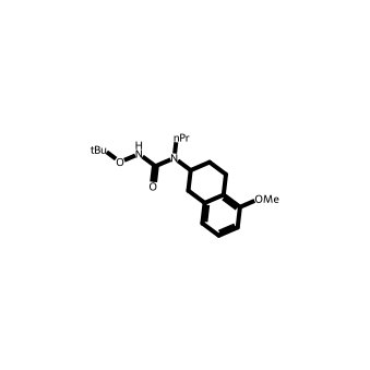 CCCN(C(=O)NOC(C)(C)C)C1CCc2c(cccc2OC)C1